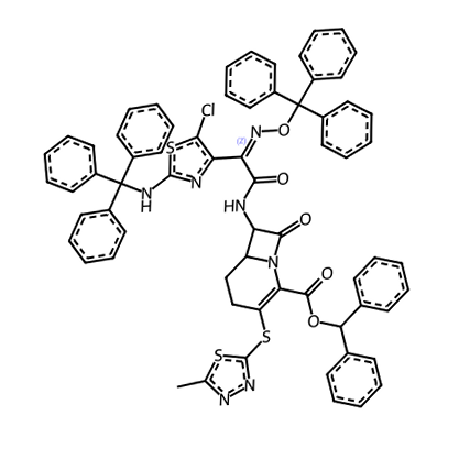 Cc1nnc(SC2=C(C(=O)OC(c3ccccc3)c3ccccc3)N3C(=O)C(NC(=O)/C(=N\OC(c4ccccc4)(c4ccccc4)c4ccccc4)c4nc(NC(c5ccccc5)(c5ccccc5)c5ccccc5)sc4Cl)C3CC2)s1